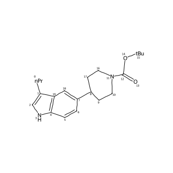 CCCc1c[nH]c2ccc(C3CCN(C(=O)OC(C)(C)C)CC3)cc12